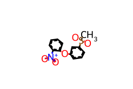 CS(=O)(=O)c1cccc(Oc2ccccc2[N+](=O)[O-])c1